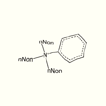 CCCCCCCCC[N+](CCCCCCCCC)(CCCCCCCCC)c1ccccc1